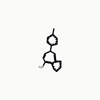 Cc1ccc(C2C=CC(N)=c3ccccc3=C2)cc1